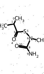 CC(C)C(=O)SN(C)C(N)=O